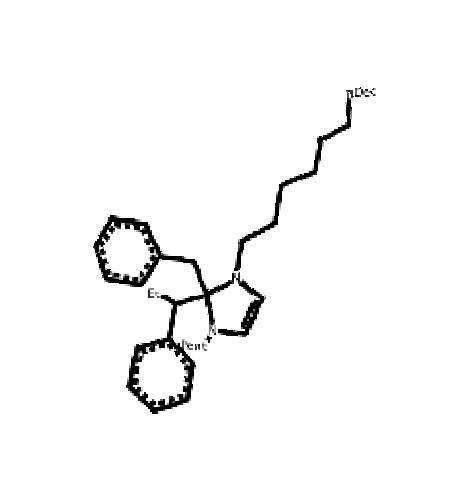 CCCCCCCCCCCCCCCCN1C=CN(CCCCC)C1(Cc1ccccc1)C(CC)c1ccccc1